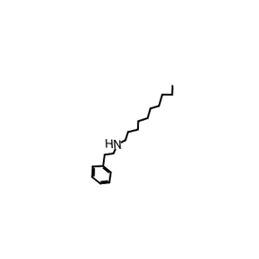 CCCCCCCCCCNCCc1ccccc1